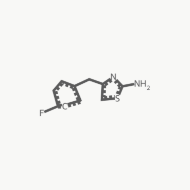 Nc1nc(Cc2ccc(F)cc2)cs1